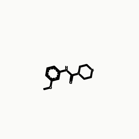 COc1cccc(NC(=O)N2CC[N]CC2)c1